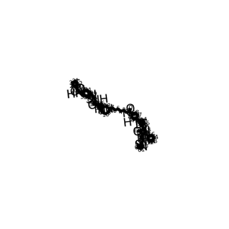 O=C(NCCCCCN1CCCn2nc(C(=O)Nc3nc4ccc(NS(=O)(=O)c5cccs5)cc4s3)cc2C1)c1ccc(-c2csc(N3N=C(c4ccccc4)/C(=N\Nc4nccs4)C3=O)n2)cc1